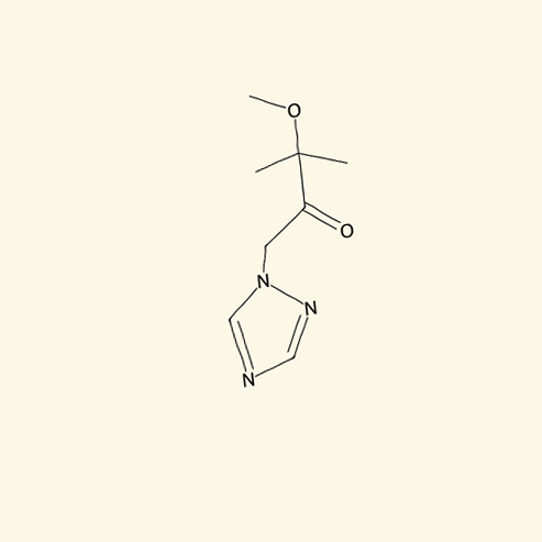 COC(C)(C)C(=O)Cn1cncn1